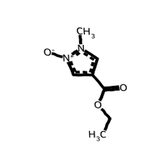 CCOC(=O)c1cn(C)[n+]([O-])c1